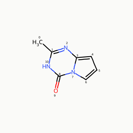 Cc1nc2cccn2c(=O)[nH]1